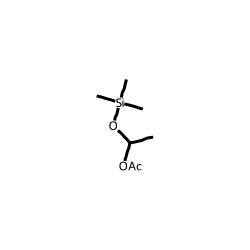 CC(=O)OC(C)O[Si](C)(C)C